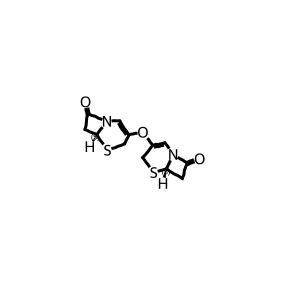 O=C1C[C@@H]2SCC(OC3=CN4C(=O)C[C@@H]4SC3)=CN12